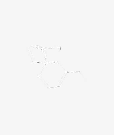 C=CC1=CC=CC(C=C)(C(=O)O)C1